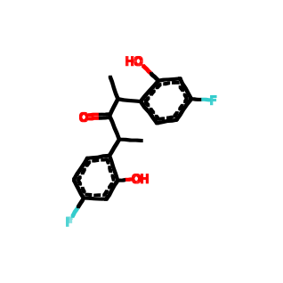 CC(C(=O)C(C)c1ccc(F)cc1O)c1ccc(F)cc1O